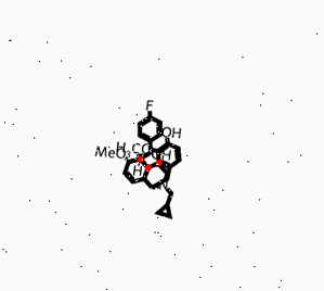 CO[C@]12C=CC3(CC1(C)[C@H](O)c1ccc(F)cc1)C1Cc4ccc(O)c5c4[C@@]3(CCN1CC1CC1)[C@@H]2O5